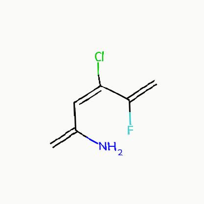 C=C(N)/C=C(/Cl)C(=C)F